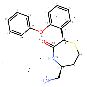 NC[C@@H]1CCS[C@H](c2ccccc2Oc2ccccc2)C(=O)N1